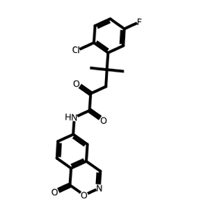 CC(C)(CC(=O)C(=O)Nc1ccc2c(=O)oncc2c1)c1cc(F)ccc1Cl